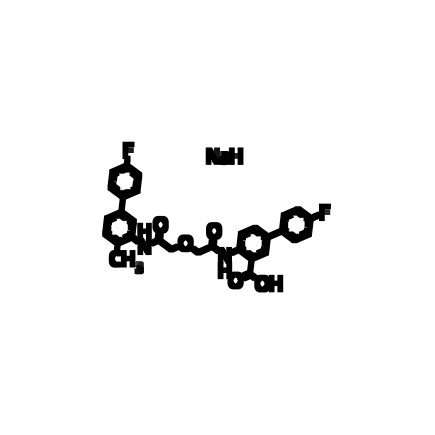 Cc1ccc(-c2ccc(F)cc2)cc1NC(=O)COCC(=O)Nc1ccc(-c2ccc(F)cc2)cc1C(=O)O.[NaH]